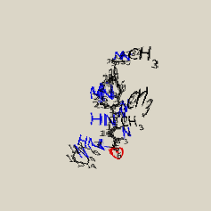 Cc1ncc(C(=O)NCCN2CCCCC2)cc1Nc1nn(C)c2c1cnn1cc(-c3cnn(C)c3)cc21